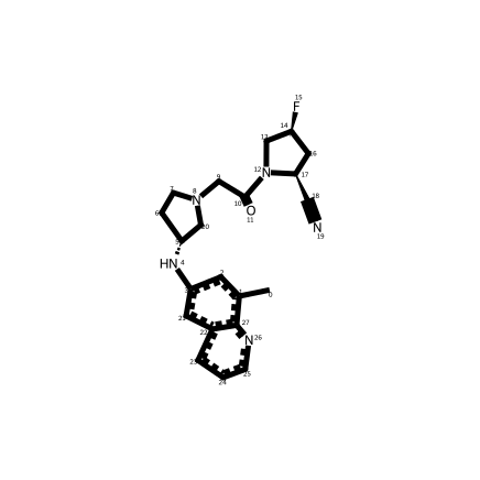 Cc1cc(N[C@@H]2CCN(CC(=O)N3C[C@@H](F)C[C@H]3C#N)C2)cc2cccnc12